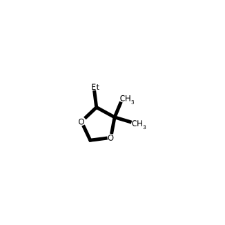 CCC1OCOC1(C)C